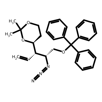 C=C[C@@H]([C@H](COC(c1ccccc1)(c1ccccc1)c1ccccc1)N=[N+]=[N-])[C@@H]1CCOC(C)(C)O1